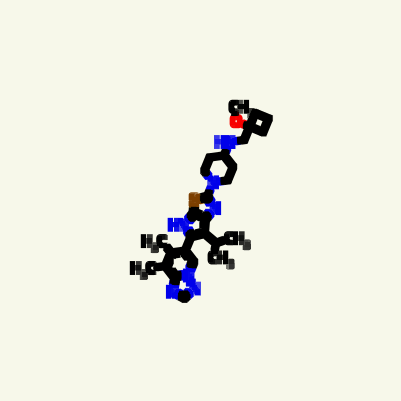 COC1(CNC2CCN(c3nc4c(C(C)C)c(-c5cn6ncnc6c(C)c5C)[nH]c4s3)CC2)CCC1